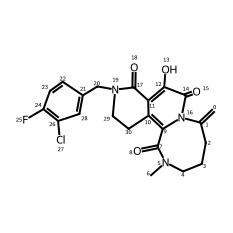 C=C1CCCN(C)C(=O)c2c3c(c(O)c(=O)n21)C(=O)N(Cc1ccc(F)c(Cl)c1)CC3